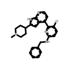 CN1CCC(c2cc3c(-c4nc(NCc5ccccc5)ccc4Cl)ccnc3[nH]2)CC1